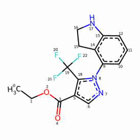 CCOC(=O)c1cnn(-c2cccc3c2CCN3)c1C(F)(F)F